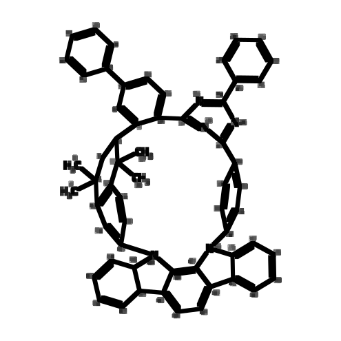 CC1(C)CC2c3cc(-c4ccccc4)ccc3-c3nc(-c4ccccc4)nc(n3)-c3ccc(cc3)-n3c4ccccc4c4ccc5c(c43)N(c3ccc(c1c3)C2(C)C)C1C=CC=CC51